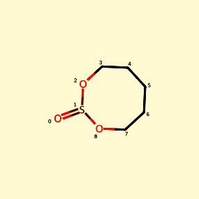 O=S1OCCCCCO1